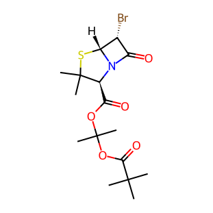 CC(C)(OC(=O)[C@@H]1N2C(=O)[C@@H](Br)[C@H]2SC1(C)C)OC(=O)C(C)(C)C